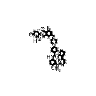 Cc1ccc(NC(=O)c2ccc(N3CCN(Cc4cc(F)c5c(c4)CN(C4CCC(=O)NC4=O)C5=O)CC3)cc2)cc1Nc1nccc(-c2cccnc2)n1